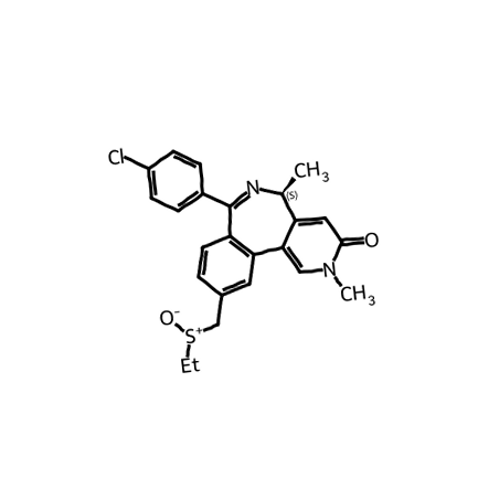 CC[S+]([O-])Cc1ccc2c(c1)-c1cn(C)c(=O)cc1[C@H](C)N=C2c1ccc(Cl)cc1